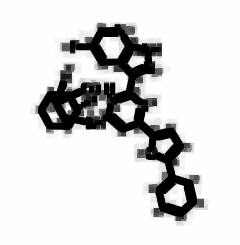 O=C(O)[C@H]1C2CCC(CC2)[C@@H]1Nc1cc(-c2ccc(-c3ccccc3)o2)nc(-c2n[nH]c3ncc(F)cc23)n1